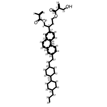 C=C(C)C(=O)OCC(CCOC(=O)C(=C)CO)c1ccc2c(ccc3cc(CCC4CCC(C5CCC(CCC)CC5)CC4)ccc32)c1